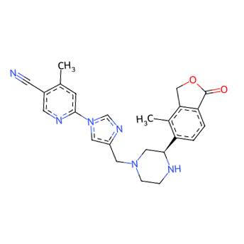 Cc1cc(-n2cnc(CN3CCN[C@H](c4ccc5c(c4C)COC5=O)C3)c2)ncc1C#N